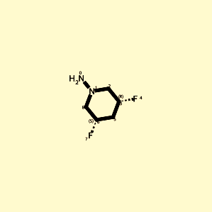 NN1C[C@H](F)C[C@H](F)C1